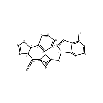 Cc1cccc2c1cnn2CC12CC(C(=O)N3N=CCC3c3ccccc3)(C1)C2